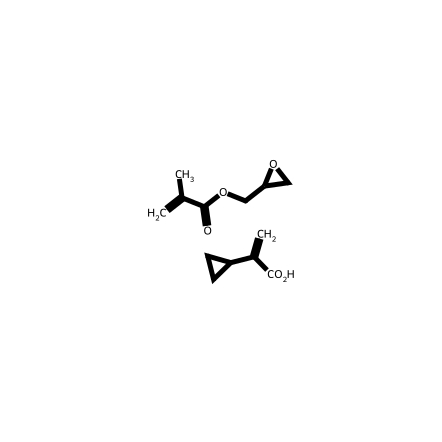 C=C(C(=O)O)C1CC1.C=C(C)C(=O)OCC1CO1